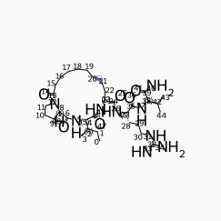 CC[C@@H](C)[C@@H]1NC(=O)[C@@H]2CCCN2C(=O)CCCCC/C=C/C[C@@H](C(=O)N[C@@H](CCCNC(=N)N)C(=O)N[C@H](C(N)=O)C(C)C)NC1=O